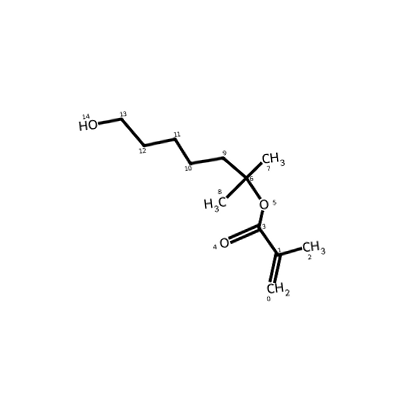 C=C(C)C(=O)OC(C)(C)CCCCCO